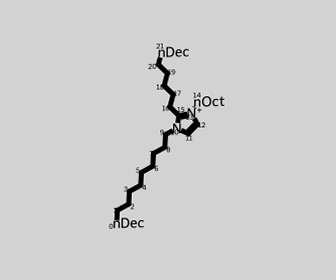 CCCCCCCCCCCCCCCCCCCn1cc[n+](CCCCCCCC)c1CCCCCCCCCCCCCCC